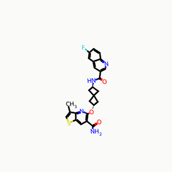 Cc1csc2cc(C(N)=O)c(O[C@H]3CC4(C[C@H](NC(=O)c5cnc6ccc(F)cc6c5)C4)C3)nc12